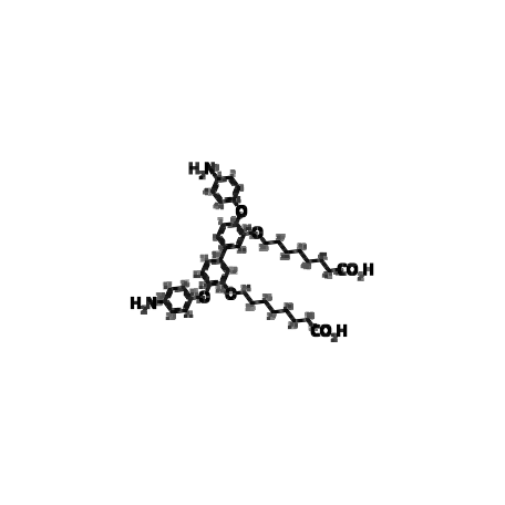 Nc1ccc(Oc2ccc(-c3ccc(Oc4ccc(N)cc4)c(OCCCCCCCC(=O)O)c3)cc2OCCCCCCCC(=O)O)cc1